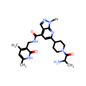 Cc1cc(C)c(CNC(=O)c2cc(C3CCN(C(=O)C(C)N)CC3)nc3c2cnn3C(C)C)c(=O)[nH]1